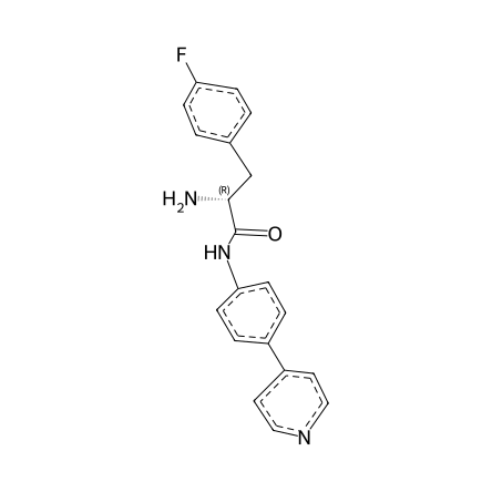 N[C@H](Cc1ccc(F)cc1)C(=O)Nc1ccc(-c2ccncc2)cc1